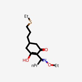 CCCC(=NOCC)C1=C(O)CC(CCCSCC)CC1=O